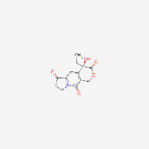 CC[C@]1(O)C(=O)OCc2c1cc1n(c2=O)CCC1=O